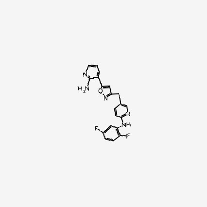 Nc1ncccc1-c1cc(Cc2ccc(Nc3cc(F)ccc3F)nc2)no1